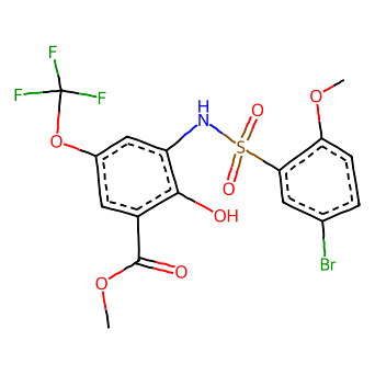 COC(=O)c1cc(OC(F)(F)F)cc(NS(=O)(=O)c2cc(Br)ccc2OC)c1O